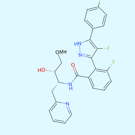 COC[C@@H](O)[C@@H](Cc1ccccn1)NC(=O)c1cccc(F)c1-c1n[nH]c(-c2ccc(F)cc2)c1F